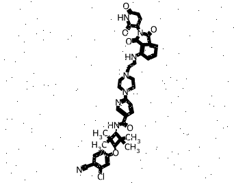 CC1(C)[C@H](NC(=O)c2ccc(N3CCN(CCNc4cccc5c4C(=O)N(C4CCC(=O)NC4=O)C5=O)CC3)nc2)C(C)(C)[C@H]1Oc1ccc(C#N)c(Cl)c1